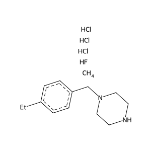 C.CCc1ccc(CN2CCNCC2)cc1.Cl.Cl.Cl.F